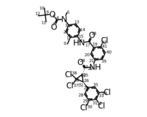 Cc1cc(N(C)C(=O)OC(C)(C)C)ccc1NC(=O)c1cc(NC(=O)[C@@H]2[C@@H](c3cc(Cl)c(Cl)c(Cl)c3)C2(Cl)Cl)ccc1Cl